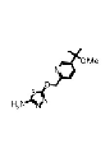 COC(C)(C)c1ccc(COc2nnc(N)s2)nc1